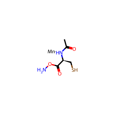 CC(=O)N[C@@H](CS)C(=O)ON.[Mn]